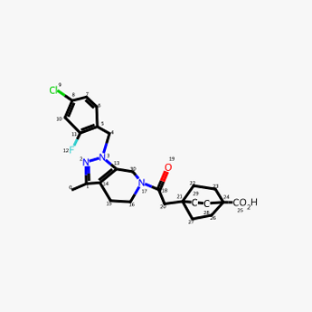 Cc1nn(Cc2ccc(Cl)cc2F)c2c1CCN(C(=O)CC13CCC(C(=O)O)(CC1)CC3)C2